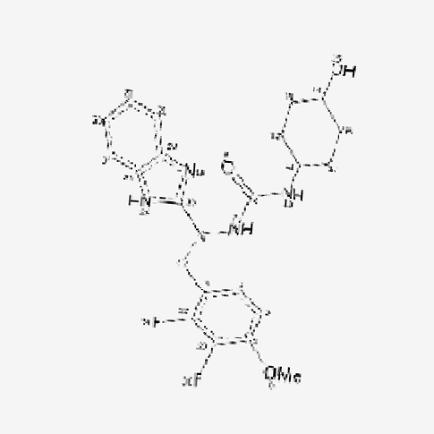 COc1ccc(C[C@@H](NC(=O)NC2CCC(O)CC2)c2nc3ccccc3[nH]2)c(F)c1F